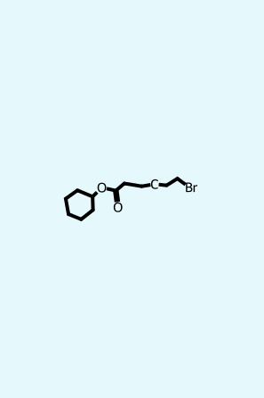 O=C(CCCCCBr)OC1CCCCC1